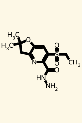 CCS(=O)(=O)c1cc2c(nc1C(=O)NN)CC(C)(C)O2